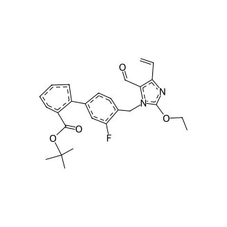 C=Cc1nc(OCC)n(Cc2ccc(-c3ccccc3C(=O)OC(C)(C)C)cc2F)c1C=O